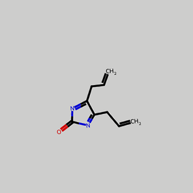 C=CCC1=NC(=O)N=C1CC=C